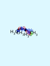 CC(C)N1CCC(Oc2ccc(C(=O)Nc3ccc(NC(=O)Nc4cc(C(C)(C)C(F)(F)F)on4)cc3)nc2)CC1